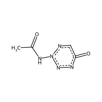 CC(=O)Nn1ncc(=O)nn1